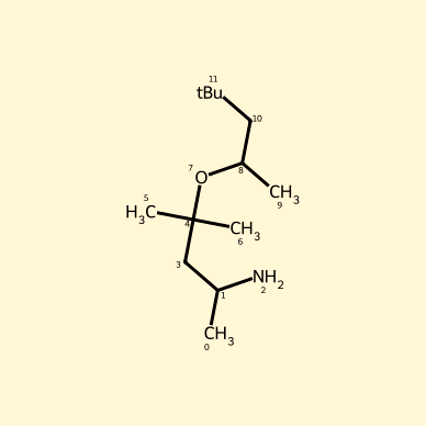 CC(N)CC(C)(C)OC(C)CC(C)(C)C